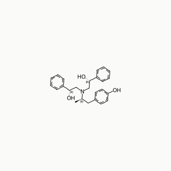 C[C@H](Cc1ccc(O)cc1)N(C[C@H](O)c1ccccc1)C[C@H](O)c1ccccc1